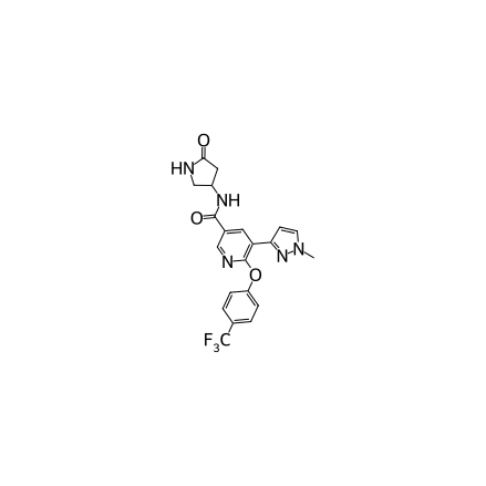 Cn1ccc(-c2cc(C(=O)NC3CNC(=O)C3)cnc2Oc2ccc(C(F)(F)F)cc2)n1